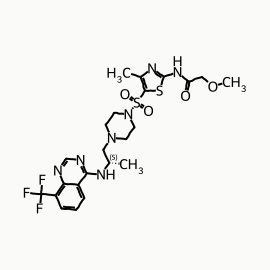 COCC(=O)Nc1nc(C)c(S(=O)(=O)N2CCN(C[C@H](C)Nc3ncnc4c(C(F)(F)F)cccc34)CC2)s1